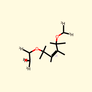 [2H]C([2H])OC(C)(C)/C(C)=C(/C)C(C)(C)OC([2H])C([2H])([2H])[2H]